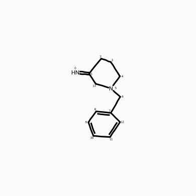 N=C1CCCN(Cc2ccccc2)C1